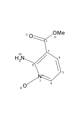 COC(=O)c1ccc[n+]([O-])c1N